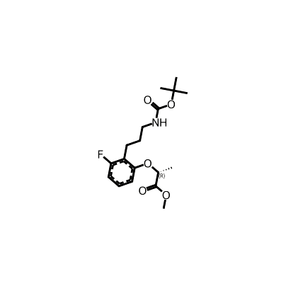 COC(=O)[C@@H](C)Oc1cccc(F)c1CCCNC(=O)OC(C)(C)C